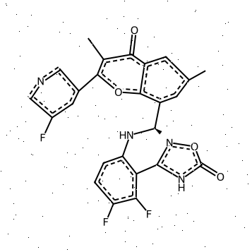 Cc1cc([C@@H](C)Nc2ccc(F)c(F)c2-c2noc(=O)[nH]2)c2oc(-c3cncc(F)c3)c(C)c(=O)c2c1